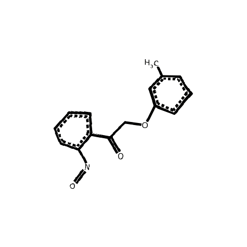 Cc1cccc(OCC(=O)c2ccccc2N=O)c1